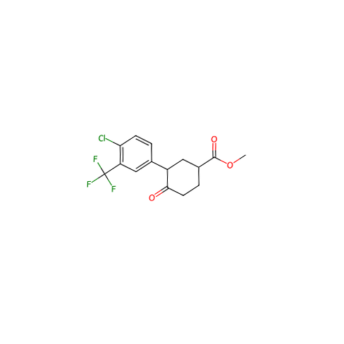 COC(=O)C1CCC(=O)C(c2ccc(Cl)c(C(F)(F)F)c2)C1